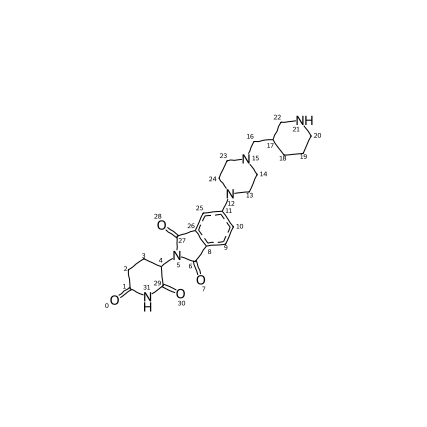 O=C1CCC(N2C(=O)c3ccc(N4CCN(CC5CCCNC5)CC4)cc3C2=O)C(=O)N1